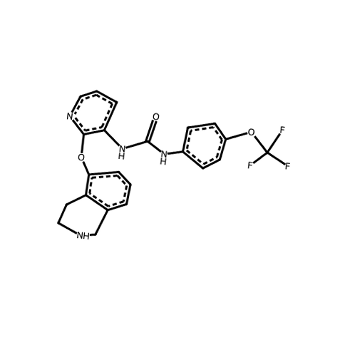 O=C(Nc1ccc(OC(F)(F)F)cc1)Nc1cccnc1Oc1cccc2c1CCNC2